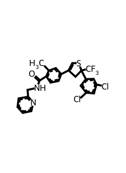 Cc1cc(C2=CSC(c3cc(Cl)cc(Cl)c3)(C(F)(F)F)C2)ccc1C(=O)NCc1ccccn1